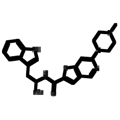 CCCCC(Cc1c[nH]c2ccccc12)NC(=O)c1cc2cnc(N3CCN(C)CC3)cc2s1